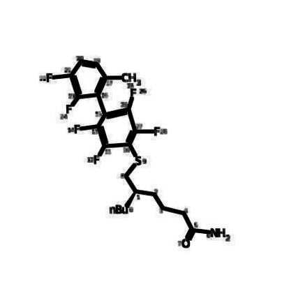 CCCC[C@H](CCCC(N)=O)CSc1c(F)c(F)c(-c2c(C)ccc(F)c2F)c(F)c1F